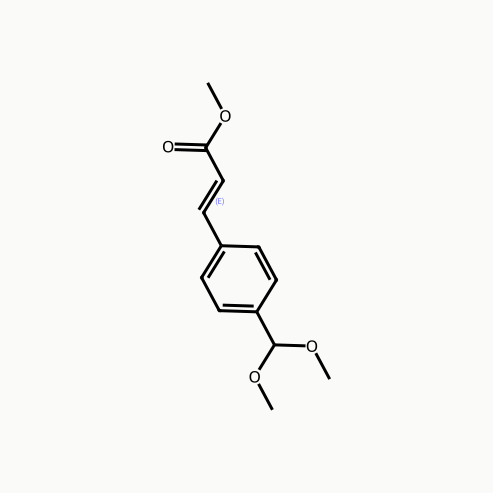 COC(=O)/C=C/c1ccc(C(OC)OC)cc1